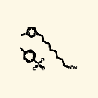 CCCCCCCCCCCCCCCCCCn1cc[n+](C)c1.Cc1ccc(S(=O)(=O)[O-])cc1